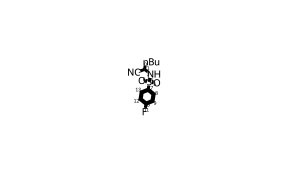 CCCCC(C#N)NS(=O)(=O)c1ccc(F)cc1